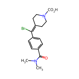 CN(C)C(=O)c1ccc(C(Br)=C2CCN(C(=O)O)CC2)cc1